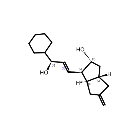 C=C1C[C@H]2C[C@@H](O)[C@H](/C=C/[C@@H](O)C3CCCCC3)[C@@H]2C1